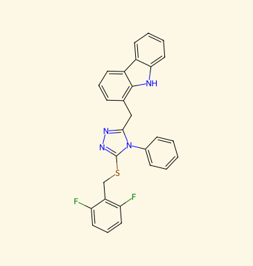 Fc1cccc(F)c1CSc1nnc(Cc2cccc3c2[nH]c2ccccc23)n1-c1ccccc1